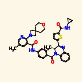 Cc1cnc(N2CC3(CCOCC3)C2)c(C(=O)Nc2ccc(C(=O)N3c4ccccc4N=C(c4ccc(C(=O)NC5CC5)s4)[C@H]3C)cc2)c1